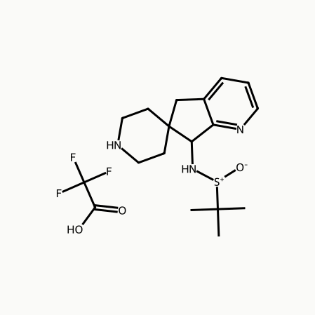 CC(C)(C)[S+]([O-])NC1c2ncccc2CC12CCNCC2.O=C(O)C(F)(F)F